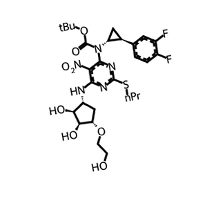 CCCSc1nc(N[C@@H]2C[C@H](OCCO)[C@@H](O)[C@H]2O)c([N+](=O)[O-])c(N(C(=O)OC(C)(C)C)[C@@H]2C[C@H]2c2ccc(F)c(F)c2)n1